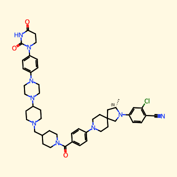 C[C@H]1CC2(CCN(c3ccc(C(=O)N4CCC(CN5CCC(N6CCN(c7ccc(N8CCC(=O)NC8=O)cc7)CC6)CC5)CC4)cc3)CC2)CN1c1ccc(C#N)c(Cl)c1